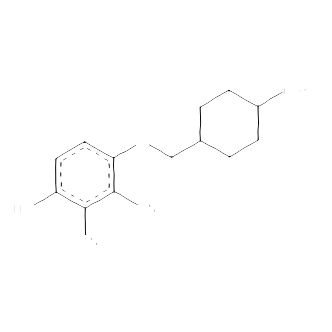 CCCCCC1CCC(COc2ccc(O)c(C#N)c2C#N)CC1